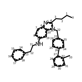 CCCCc1nc2ccc(NCCc3ccccc3)cc2n1Cc1ccc(-c2ccccc2C)cc1